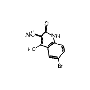 N#Cc1c(O)c2cc(Br)ccc2[nH]c1=O